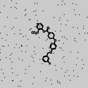 O=C(O)c1cnccc1OC(=O)N1CCC(Oc2ccc(OCc3cccc(F)c3)cc2)CC1